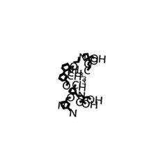 CCOC(=O)C1(CO)CCN(CCCOc2cccc(-c3cccc(COc4cc(OCc5cncc(C#N)c5)c(CNC(CO)C(=O)O)cc4Cl)c3C)c2C)C1